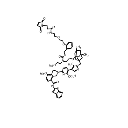 COCCN(CCOC12CC3(C)CC(C)(CC(Cn4ncc(-c5ccc(N6CCc7c(OC)ccc(C(=O)Nc8nc9ccccc9s8)c7C6)nc5C(=O)O)c4C)(C3)C1)C2)C(=O)OCc1cc[c]cc1OCCOCCNC(=O)CCN1C(=O)C=CC1=O